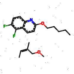 CC=C(C)COC.CCCCCOc1ccc2c(F)c(F)ccc2n1